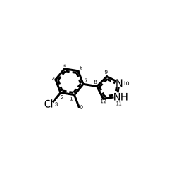 Cc1c(Cl)cccc1-c1cn[nH]c1